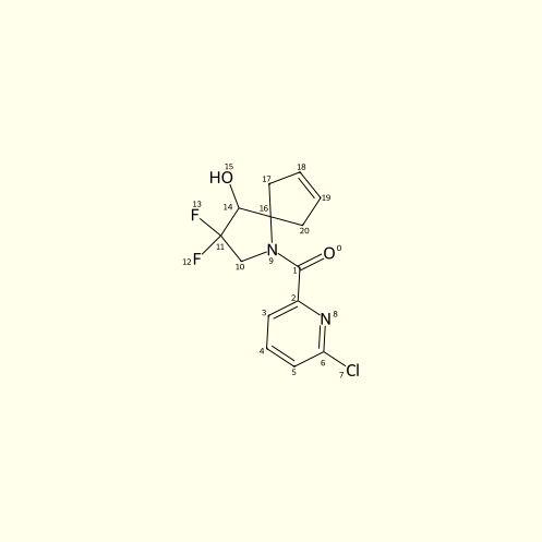 O=C(c1cccc(Cl)n1)N1CC(F)(F)C(O)C12CC=CC2